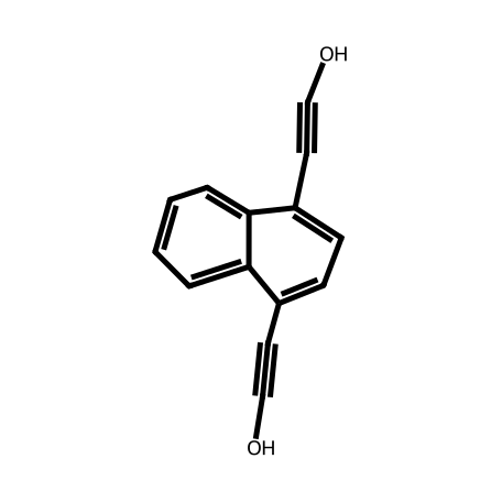 OC#Cc1ccc(C#CO)c2ccccc12